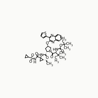 C=C[C@@H]1C[C@]1(NC(=O)[C@@H]1C[C@@H](Oc2nc3ccccc3nc2-c2cccs2)CN1C(=O)[C@@H](NC(=O)OC(C)(C)C)C(C)(C)C)C(=O)NS(=O)(=O)C1CC1